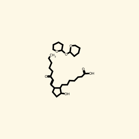 C1CCC(OC2CCCCO2)OC1.CCCCCC(=O)C=CC1CCC(O)C1CCCCCCC(=O)O